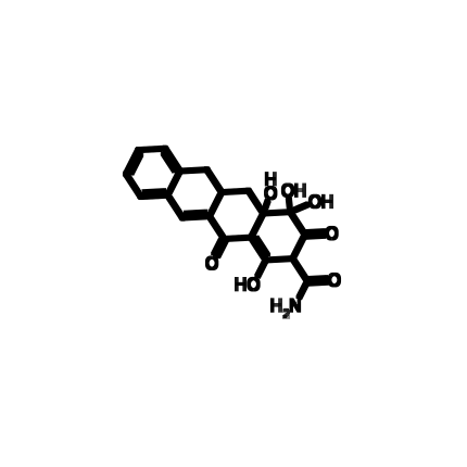 NC(=O)C1C(=O)C(O)(O)C2(O)CC3Cc4ccccc4C=C3C(=O)C2=C1O